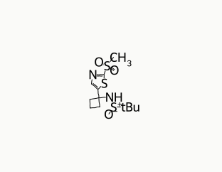 CC(C)(C)[S+]([O-])NC1(c2cnc(S(C)(=O)=O)s2)CCC1